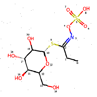 CC/C(=N/OS(=O)(=O)O)S[C@@H]1OC(CO)[C@@H](O)[C@H](O)C1O